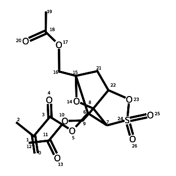 C=C(C)C(=O)OC1C2C3(COC(C)=O)OC1(COC(C)=O)CC3OS2(=O)=O